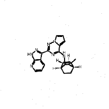 C[C@@H]1[C@@H](Nc2nc(-c3n[nH]c4ncccc34)nn3cccc23)[C@H]2C=C[C@@H]1CC2